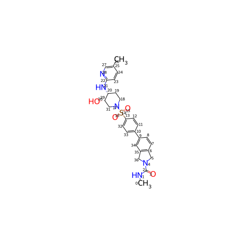 CNC(=O)N1Cc2ccc(-c3ccc(S(=O)(=O)N4CC[C@@H](Nc5ccc(C)cn5)[C@@H](O)C4)cc3)cc2C1